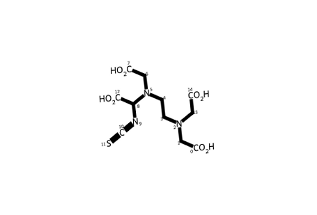 O=C(O)CN(CCN(CC(=O)O)C(N=C=S)C(=O)O)CC(=O)O